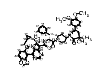 COc1ccc(C2=NN(C3CCN(C(=O)[C@@H](Cc4ccccc4)NC(=O)c4c(C)[nH]c5c(-c6c(OCC7CC7)ccc7c6OCO7)ncnc45)CC3)C(=O)C(C)(C)C2)cc1OC